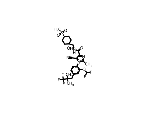 Cc1nc(C(=O)NC[C@]2(O)CC[C@H](S(C)(=O)=O)CC2)c(C#N)n1-c1ccc(CC(C)(C)C(F)(F)F)cc1OC(F)F